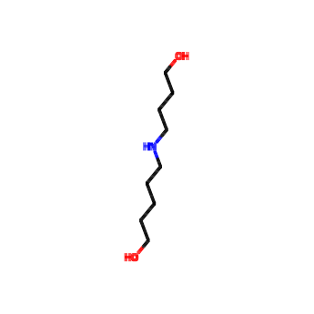 OCCCCCNCCCCO